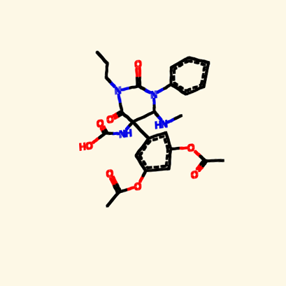 CCCN1C(=O)N(c2ccccc2)C(NC)C(NC(=O)O)(c2cc(OC(C)=O)cc(OC(C)=O)c2)C1=O